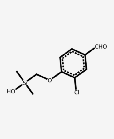 C[Si](C)(O)COc1ccc(C=O)cc1Cl